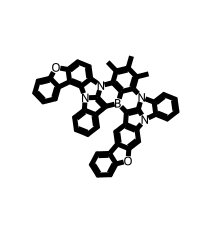 Cc1c(C)c2c3c(c1C)-n1c4ccc5oc6ccccc6c5c4n4c5ccccc5c(c14)B3c1c3cc4c(cc3n3c5ccccc5n-2c13)oc1ccccc14